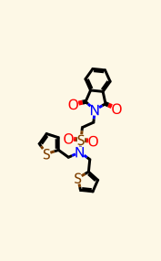 O=C1c2ccccc2C(=O)N1CCS(=O)(=O)N(Cc1cccs1)Cc1cccs1